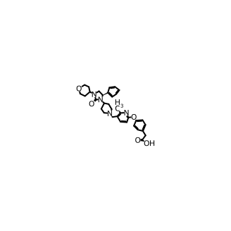 Cc1nc(Oc2ccc(CC(=O)O)cc2)ccc1CN1CCC(N2C(=O)N(C3CCOCC3)C[C@H]2c2ccccc2)CC1